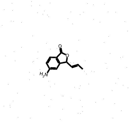 CC=CC1OC(=O)c2ccc(N)cc21